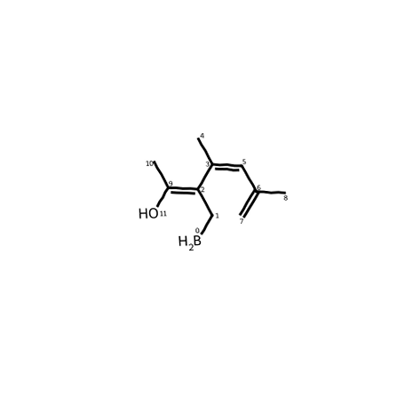 BCC(/C(C)=C\C(=C)C)=C(/C)O